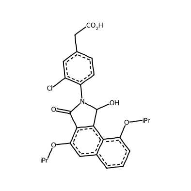 CC(C)Oc1cc2cccc(OC(C)C)c2c2c1C(=O)N(c1ccc(CC(=O)O)cc1Cl)C2O